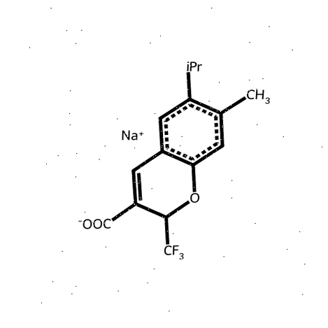 Cc1cc2c(cc1C(C)C)C=C(C(=O)[O-])C(C(F)(F)F)O2.[Na+]